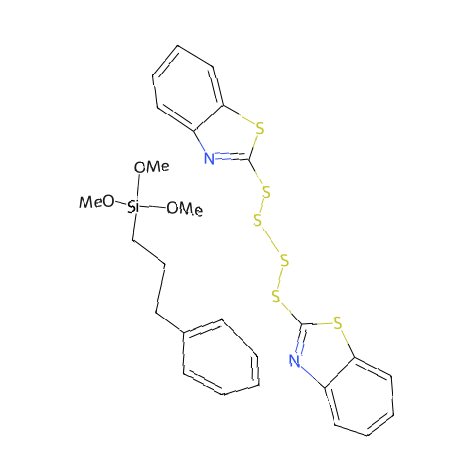 CO[Si](CCCc1ccccc1)(OC)OC.c1ccc2sc(SSSSc3nc4ccccc4s3)nc2c1